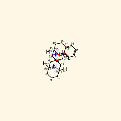 c1ccc(N[C@H]2C[C@H]3CCC[C@@H](C2)N3[C@H]2C[C@@H]3CCC[C@@H](C3)C2)cc1